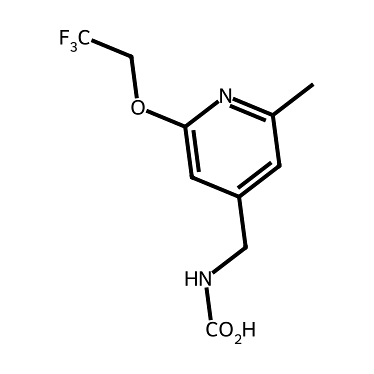 Cc1cc(CNC(=O)O)cc(OCC(F)(F)F)n1